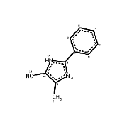 Cc1nc(-c2ccccc2)[nH]c1C#N